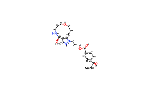 CCc1nn(CCCOC(=O)c2ccc(C(=O)NC)cc2)c2c1C(=O)NCCCOCCC2